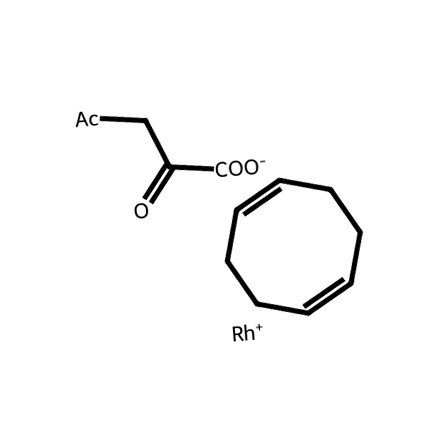 C1=C\CC/C=C\CC/1.CC(=O)CC(=O)C(=O)[O-].[Rh+]